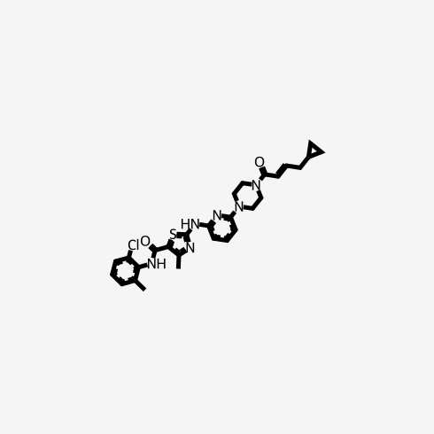 Cc1cccc(Cl)c1NC(=O)c1sc(Nc2cccc(N3CCN(C(=O)/C=C/CC4CC4)CC3)n2)nc1C